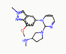 CNC1CCN(C2N=CC=CN2c2cc(OC)c3nn(C)cc3c2)C1